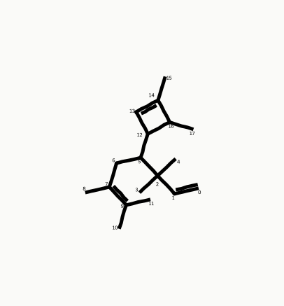 C=CC(C)(C)C(CC(C)=C(C)C)C1C=C(C)C1C